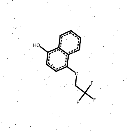 Oc1ccc(OCC(F)(F)F)c2ccccc12